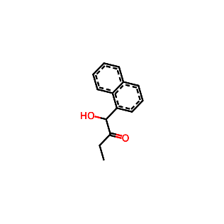 CCC(=O)C(O)c1cccc2ccccc12